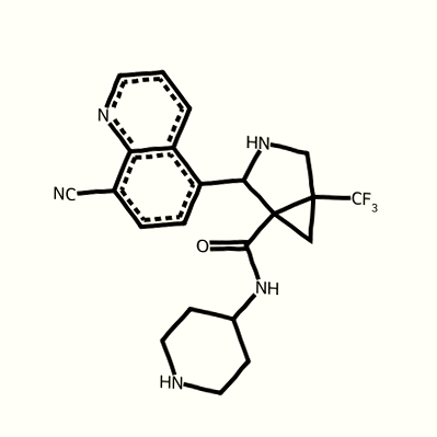 N#Cc1ccc(C2NCC3(C(F)(F)F)CC23C(=O)NC2CCNCC2)c2cccnc12